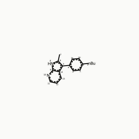 CCCCc1ccc(-c2c(C)[nH]c3ncccc23)cc1